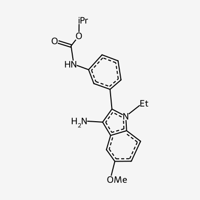 CCn1c(-c2cccc(NC(=O)OC(C)C)c2)c(N)c2cc(OC)ccc21